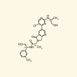 Cc1cccc([C@@H](CO)NC(=O)[C@@H](C)N2Cc3ncc(-c4nc(N[C@@H](C)CO)ncc4Cl)cc3C2=O)c1